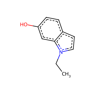 CCn1ccc2ccc(O)cc21